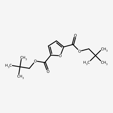 CC(C)(C)COC(=O)c1ccc(C(=O)OCC(C)(C)C)o1